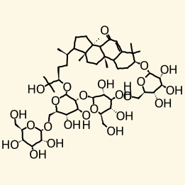 C[C@H](CC[C@@H](O[C@@H]1O[C@H](CO[C@H]2O[C@H](CO)[C@@H](O)[C@H](O)[C@H]2O)[C@@H](O)[C@H](O)[C@H]1O[C@@H]1O[C@H](CO)[C@@H](O)[C@H](O)[C@H]1O)C(C)(C)O)C1CC[C@@]2(C)C3C(=O)C=C4C(CC[C@H](O[C@@H]5O[C@H](CO)[C@@H](O)[C@H](O)[C@H]5O)C4(C)C)[C@]3(C)CC[C@]12C